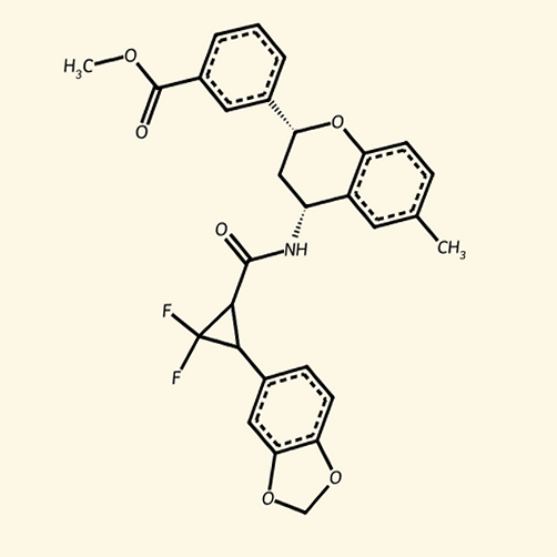 COC(=O)c1cccc([C@H]2C[C@@H](NC(=O)C3C(c4ccc5c(c4)OCO5)C3(F)F)c3cc(C)ccc3O2)c1